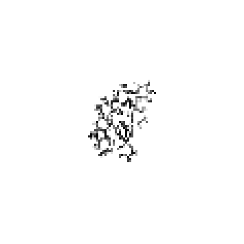 c1ccc(-c2nc(-c3cccc(-n4c5ccccc5c5ccc6c7ccccc7sc6c54)c3)nc(-c3cccc4oc5ccccc5c34)n2)cc1